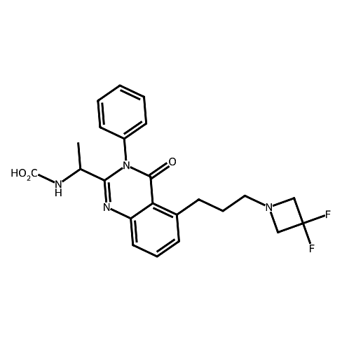 CC(NC(=O)O)c1nc2cccc(CCCN3CC(F)(F)C3)c2c(=O)n1-c1ccccc1